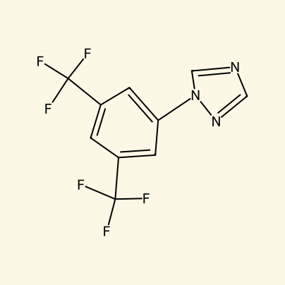 FC(F)(F)c1cc(-n2cncn2)cc(C(F)(F)F)c1